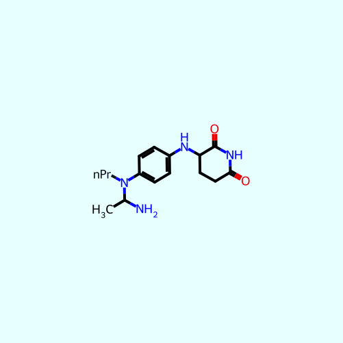 CCCN(c1ccc(NC2CCC(=O)NC2=O)cc1)C(C)N